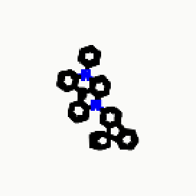 c1ccc(N2c3ccccc3B3c4ccccc4N(c4ccc5c(c4)C4(CC6CCC4C6)c4ccccc4-5)c4cccc2c43)cc1